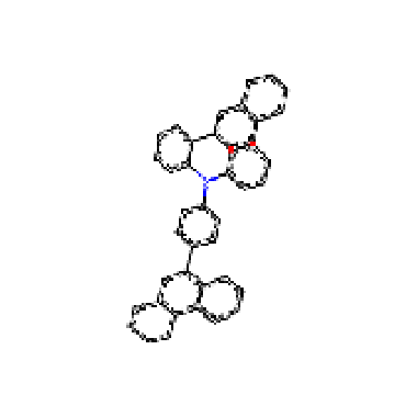 c1ccc(N(c2ccc(-c3cc4ccccc4c4ccccc34)cc2)c2ccccc2-c2ccc3ccccc3c2)cc1